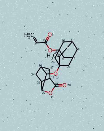 C=CC(=O)OC12CC3CC(C1)C(C)C(OC1C4CC5C(=O)OC1C5C4)(C3)C2